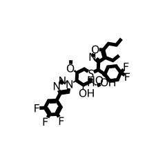 CCCc1onc(C([SH]2C[C@H](OC)[C@@H](n3cc(-c4cc(F)c(F)c(F)c4)nn3)[C@@H](O)[C@H]2CO)C2(O)CCC(F)(F)CC2)c1CC